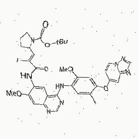 COc1cc2ncnc(Nc3cc(C)c(Oc4ccn5ncnc5c4)cc3OC)c2cc1NC(=O)C(F)=CC1CCCN1C(=O)OC(C)(C)C